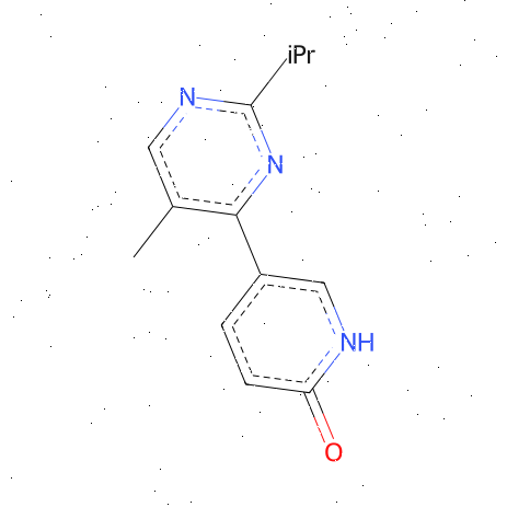 Cc1cnc(C(C)C)nc1-c1ccc(=O)[nH]c1